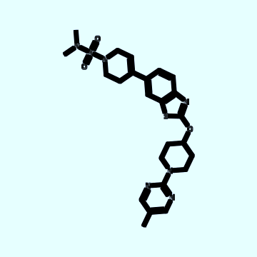 Cc1cnc(N2CCC(Oc3nc4ccc(C5=CCN(S(=O)(=O)N(C)C)CC5)cc4s3)CC2)nc1